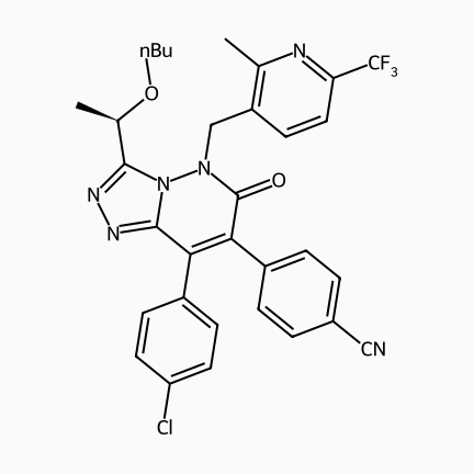 CCCCO[C@H](C)c1nnc2c(-c3ccc(Cl)cc3)c(-c3ccc(C#N)cc3)c(=O)n(Cc3ccc(C(F)(F)F)nc3C)n12